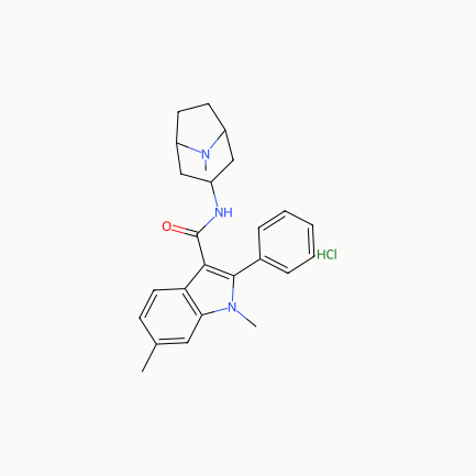 Cc1ccc2c(C(=O)NC3CC4CCC(C3)N4C)c(-c3ccccc3)n(C)c2c1.Cl